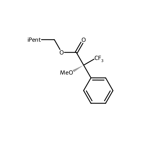 CCCC(C)COC(=O)[C@](OC)(c1ccccc1)C(F)(F)F